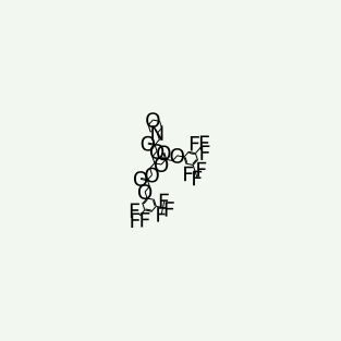 O=C(COc1cc(C(F)(F)F)cc(C(F)(F)F)c1)OCC(COC(=O)CN1CCOCC1)OC(=O)COc1cc(C(F)(F)F)cc(C(F)(F)F)c1